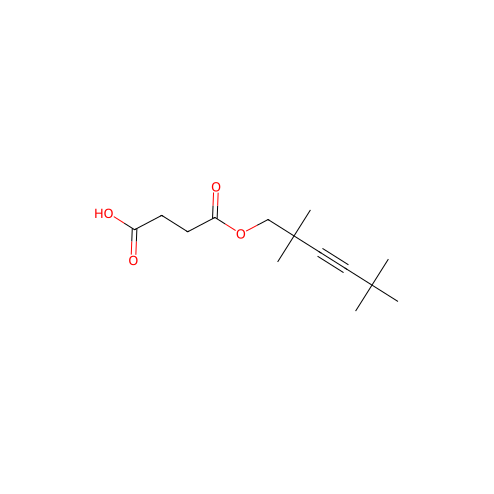 CC(C)(C)C#CC(C)(C)COC(=O)CCC(=O)O